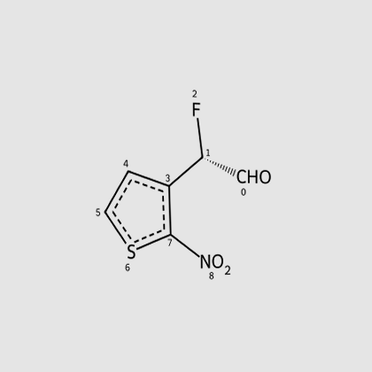 O=C[C@@H](F)c1ccsc1[N+](=O)[O-]